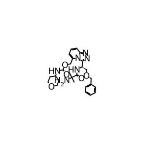 CC(C)(N)C(=O)N[C@H](COCc1ccccc1)c1nnc2cccc(COC(=O)NC3CCOCC3)n12